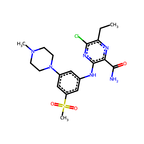 CCc1nc(C(N)=O)c(Nc2cc(N3CCN(C)CC3)cc(S(C)(=O)=O)c2)nc1Cl